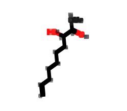 C=CCCCCCC(O)C(=O)OC